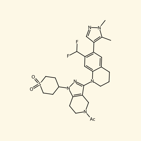 CC(=O)N1CCc2c(c(N3CCCc4cc(-c5cnn(C)c5C)c(C(F)F)cc43)nn2C2CCS(=O)(=O)CC2)C1